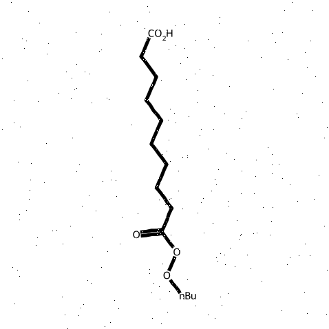 CCCCOOC(=O)CCCCCCCCC(=O)O